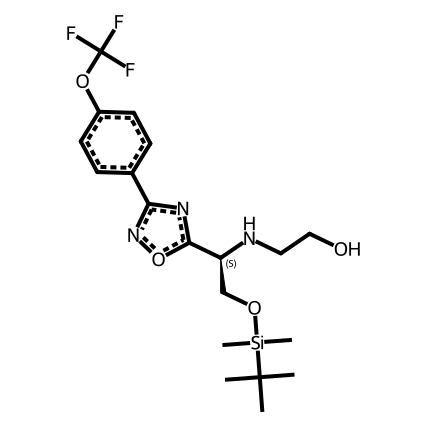 CC(C)(C)[Si](C)(C)OC[C@H](NCCO)c1nc(-c2ccc(OC(F)(F)F)cc2)no1